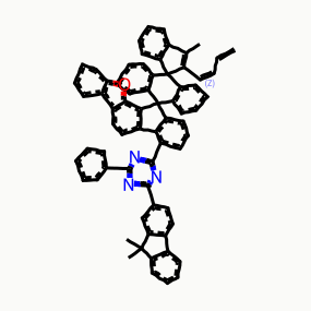 C=C/C=C\C1=C(C)c2ccccc2C12c1ccccc1C1(c3ccccc32)c2cccc(-c3nc(-c4ccccc4)nc(-c4ccc5c(c4)C(C)(C)c4ccccc4-5)n3)c2-c2ccc3c(oc4ccccc43)c21